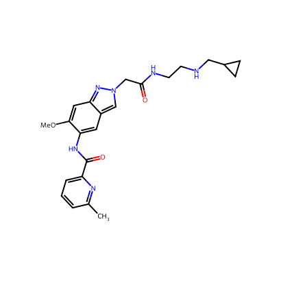 COc1cc2nn(CC(=O)NCCNCC3CC3)cc2cc1NC(=O)c1cccc(C)n1